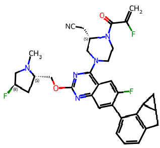 C=C(F)C(=O)N1CCN(c2nc(OC[C@@H]3C[C@@H](F)CN3C)nc3cc(-c4cccc5c4C4CC4C5)c(F)cc23)C[C@@H]1CC#N